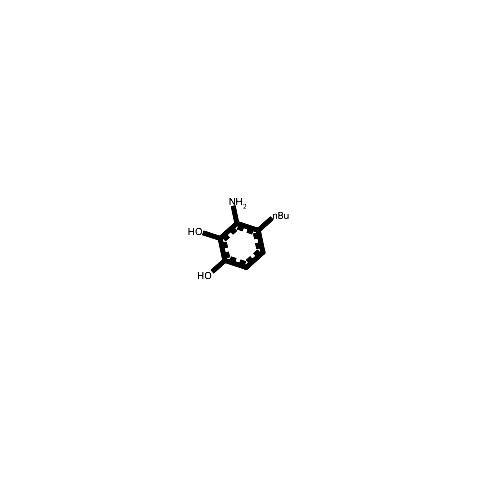 CCCCc1ccc(O)c(O)c1N